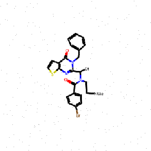 CCC(c1nc2sccc2c(=O)n1Cc1ccccc1)N(CCNC)C(=O)c1ccc(Br)cc1